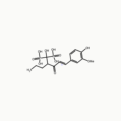 COc1cc(/C=C/C(=O)C(CCN)C(O)(P(=O)(O)O)P(=O)(O)O)ccc1O